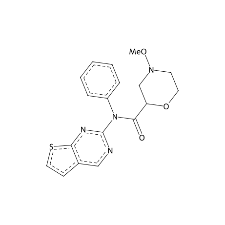 CON1CCOC(C(=O)N(c2ccccc2)c2ncc3ccsc3n2)C1